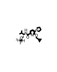 [2H]C([2H])(F)OC[C@@H](NC(=O)c1ccc(N2CCCC2)c(OCC2CC2)n1)C(C)C